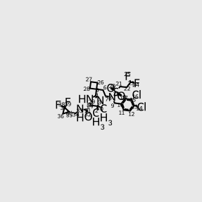 CC1(C)N=C(C2(CCN(Cc3ccc(Cl)c(Cl)c3)S(=O)(=O)CCC(F)F)CCC2)N[C@H]1C(=O)NC[C@H]1CC1(F)F